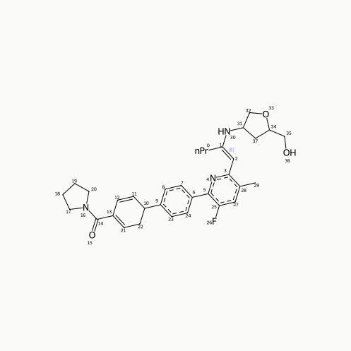 CCC/C(=C\c1nc(-c2ccc(C3C=CC(C(=O)N4CCCC4)=CC3)cc2)c(F)cc1C)NC1COC(CO)C1